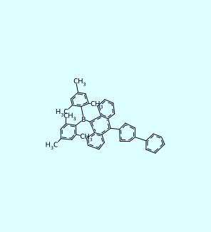 Cc1cc(C)c(B(c2c(C)cc(C)cc2C)c2c3ccccc3c(-c3ccc(-c4ccccc4)cc3)c3ccccc23)c(C)c1